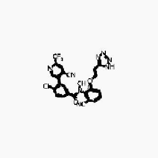 CN(C(=O)c1ccc(Cl)c(-c2cnc(C(F)(F)F)cc2C#N)c1)c1c(C#N)cccc1OCCc1nnn[nH]1